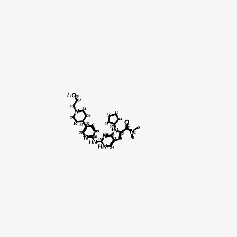 CN(C)C(=O)c1cc2c(n1C1CCCC1)=NC(Nc1ccc(C3CCN(CCO)CC3)cn1)NC=2